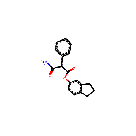 NC(=O)C(C(=O)Oc1ccc2c(c1)CCC2)c1ccccc1